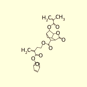 C=C(C)C(=O)OC1C2CC3C1OC(=O)C3C2C(=O)OCCC(=C)C(=O)Oc1cc2ccc1o2